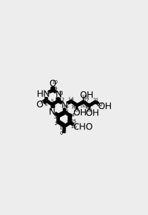 Cc1cc2nc3c(=O)[nH]c(=O)nc-3n(C[C@H](O)[C@H](O)[C@H](O)CO)c2cc1C=O